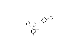 Clc1ccc([C@]2(Cn3ccnc3)OC[C@H](COc3ccc(-c4nnco4)cc3)O2)c(Cl)c1